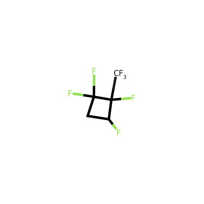 FC1CC(F)(F)C1(F)C(F)(F)F